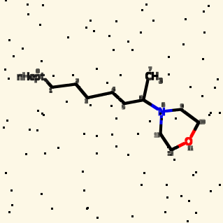 CCCCCCCCCCCCC(C)N1CCOCC1